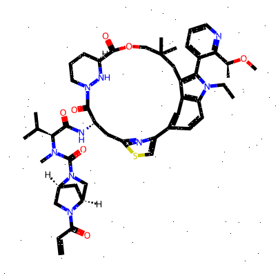 C=CC(=O)N1C[C@@H]2C[C@H]1CN2C(=O)N(C)[C@H](C(=O)N[C@H]1Cc2nc(cs2)-c2ccc3c(c2)c(c(-c2cccnc2[C@H](C)OC)n3CC)CC(C)(C)COC(=O)[C@@H]2CCCN(N2)C1=O)C(C)C